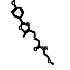 COCCNC(=O)CSCc1nc(-c2ccc(OC)cc2)oc1C